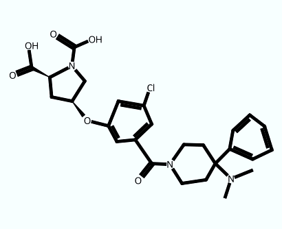 CN(C)C1(c2ccccc2)CCN(C(=O)c2cc(Cl)cc(O[C@H]3C[C@@H](C(=O)O)N(C(=O)O)C3)c2)CC1